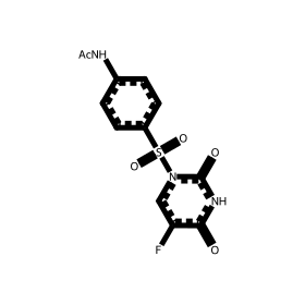 CC(=O)Nc1ccc(S(=O)(=O)n2cc(F)c(=O)[nH]c2=O)cc1